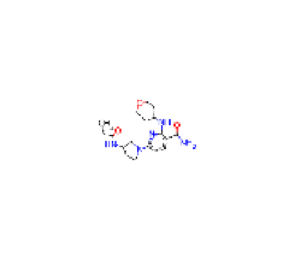 C=CC(=O)NC1CCN(c2ccc(C(N)=O)c(NC3CCOCC3)n2)C1